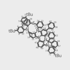 CC(C)(C)c1ccc(-c2cc(C(C)(C)C)ccc2N2c3ccc4c(c3)N(c3ccccc3Sc3ccccc32)c2cc(-c3ccccc3)cc3c2B4c2cccc4c2N3C(c2ccccc2)(c2ccccc2)N4c2ccc(C(C)(C)C)cc2)cc1